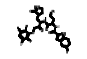 CC(C)CCC(NC(=O)c1cc2cc(F)ccc2[nH]1)C(=O)NC(CC1CCNC1=O)C(=O)COc1c(F)c(F)cc(F)c1F